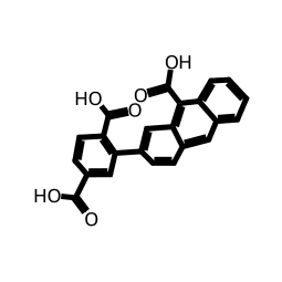 O=C(O)c1ccc(C(=O)O)c(-c2ccc3cc4ccccc4c(C(=O)O)c3c2)c1